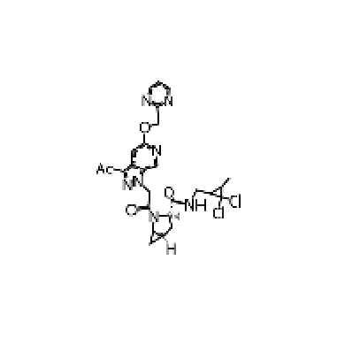 CC(=O)c1nn(CC(=O)N2C3C[C@@H]3C[C@H]2C(=O)NCC2C(C)C2(Cl)Cl)c2cnc(OCc3ncccn3)cc12